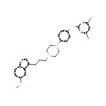 COc1ccc2[nH]cc(CCCN3CCN(c4ccc(Sc5nc(C)cc(C)n5)cc4)CC3)c2c1